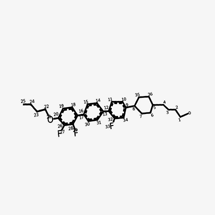 CCCCCC1CCC(c2ccc(-c3ccc(-c4ccc(OCCCC)c(F)c4F)cc3)c(F)c2)CC1